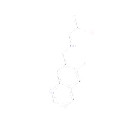 CCC(O)CNCc1cc2ncccc2cc1Br